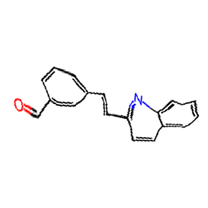 O=Cc1cccc(C=Cc2ccc3ccccc3n2)c1